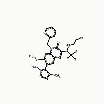 COc1cc2c(cc1-c1c(C)noc1C)cc(C(NCCO)C(F)(F)F)c(=O)n2Cc1ccccn1